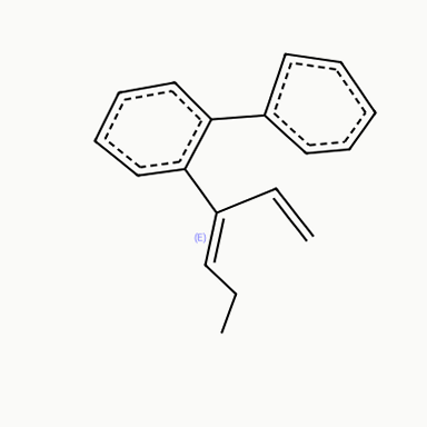 C=C/C(=C\CC)c1ccccc1-c1ccccc1